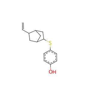 C=CC1CC2CC1CC2Sc1ccc(O)cc1